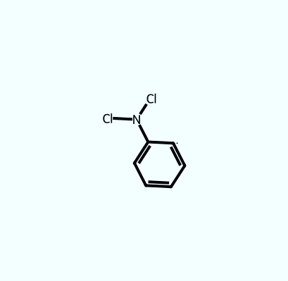 ClN(Cl)c1[c]cccc1